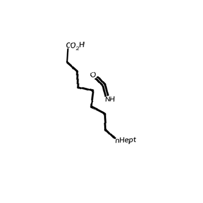 CCCCCCCCCCCCCCC(=O)O.N=C=O